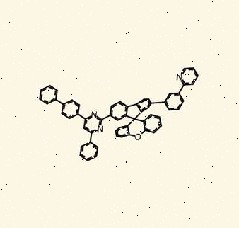 c1ccc(-c2ccc(-c3cc(-c4ccccc4)nc(-c4ccc5c(c4)C4(c6ccccc6Oc6ccccc64)c4cc(-c6cccc(-c7ccccn7)c6)ccc4-5)n3)cc2)cc1